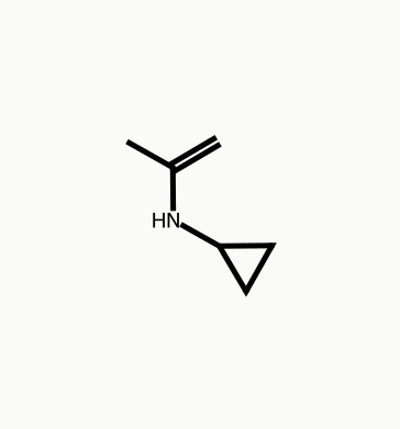 C=C(C)NC1CC1